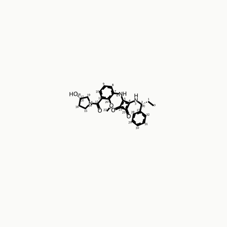 CC[C@@H](Nc1c(Nc2cccc(C(=O)N3CC[C@H](O)C3)c2OC)c(=O)c1=O)c1ccccc1